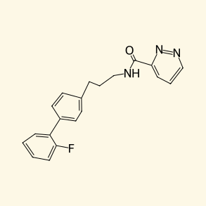 O=C(NCCCc1ccc(-c2ccccc2F)cc1)c1cccnn1